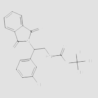 CC(C)(C)OC(=O)NCC(c1cccc(Cl)c1)N1C(=O)c2ccccc2C1=O